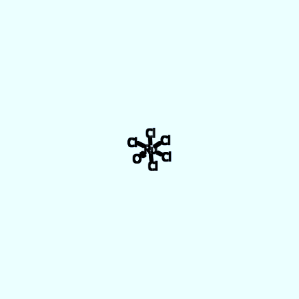 [O]=[Ru]([Cl])([Cl])([Cl])([Cl])[Cl]